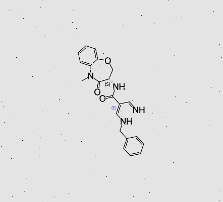 CN1C(=O)[C@@H](NC(=O)/C(C=N)=C/NCc2ccccc2)COc2ccccc21